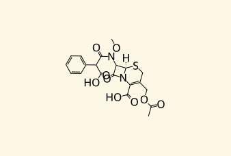 CON(C(=O)C(C(=O)O)c1ccccc1)C1C(=O)N2C(C(=O)O)=C(COC(C)=O)CS[C@H]12